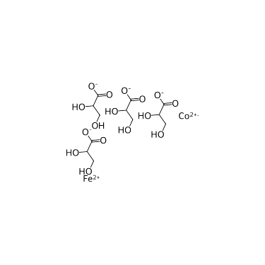 O=C([O-])C(O)CO.O=C([O-])C(O)CO.O=C([O-])C(O)CO.O=C([O-])C(O)CO.[Co+2].[Fe+2]